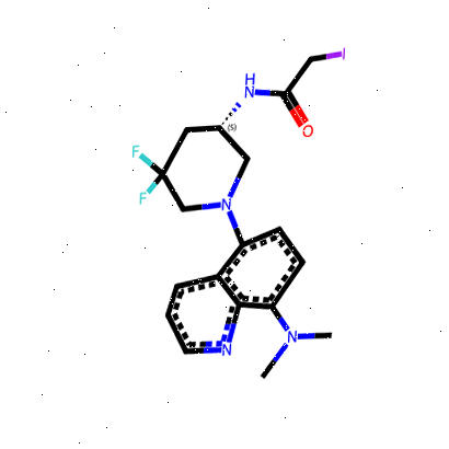 CN(C)c1ccc(N2C[C@@H](NC(=O)CI)CC(F)(F)C2)c2cccnc12